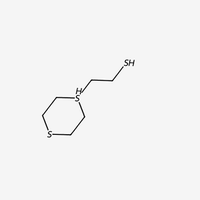 SCC[SH]1CCSCC1